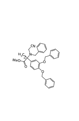 COC(=O)[C@@](C)(c1ccc(OCc2ccccc2)c(OCc2ccccc2)c1)N(CC#N)Cc1ccccc1